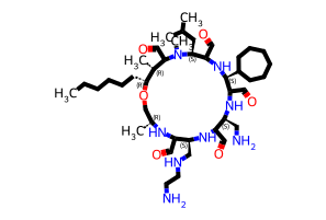 CCCCCC[C@H]1OC[C@@H](C)NC(C=O)[C@H](CNCCN)NC(C=O)[C@H](CN)NC(C=O)[C@H](C2CCCCCC2)NC(C=O)[C@H](CC(C)C)N(C)C(C=O)[C@H]1C